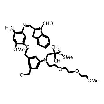 COCCOCCOCCN(CC(C)(C)SSC)c1cc(CCl)cc(COc2cc(/N=C\C3Cc4ccccc4N3C=O)c(C)cc2OC)c1